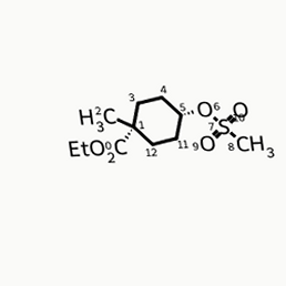 CCOC(=O)[C@]1(C)CC[C@H](OS(C)(=O)=O)CC1